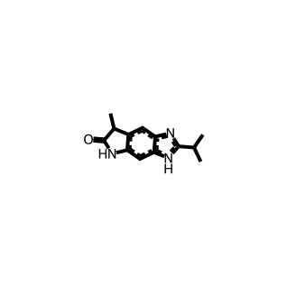 CC(C)c1nc2cc3c(cc2[nH]1)NC(=O)C3C